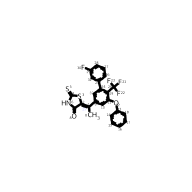 C/C(=C1/SC(=S)NC1=O)c1cc(Oc2ccccc2)c(C(F)(F)F)c(-c2cccc(F)c2)c1